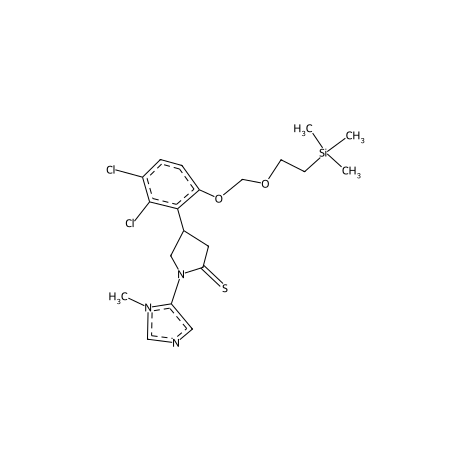 Cn1cncc1N1CC(c2c(OCOCC[Si](C)(C)C)ccc(Cl)c2Cl)CC1=S